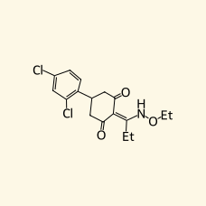 CCONC(CC)=C1C(=O)CC(c2ccc(Cl)cc2Cl)CC1=O